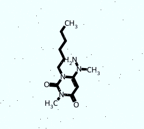 CCCCCCn1c(N(C)N)cc(=O)n(C)c1=O